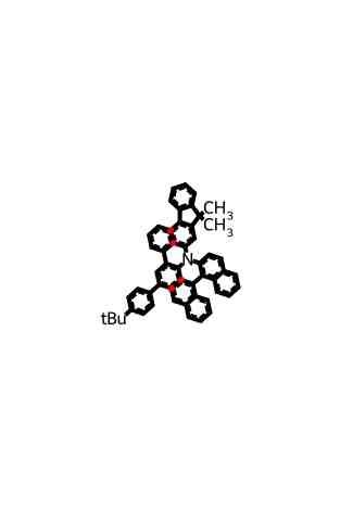 CC(C)(C)c1ccc(-c2ccc(N(c3ccc4c(c3)C(C)(C)c3ccccc3-4)c3ccc4ccccc4c3-c3cccc4ccccc34)c(-c3ccccc3)c2)cc1